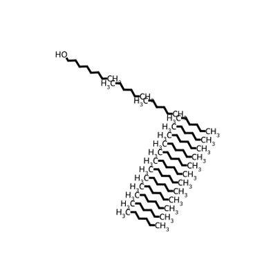 CCCCCC.CCCCCC.CCCCCC.CCCCCC.CCCCCC.CCCCCC.CCCCCC.CCCCCC.CCCCCC.CCCCCC.CCCCCC.CCCCCC.CCCCCC.CCCCCC.CCCCCCCCO